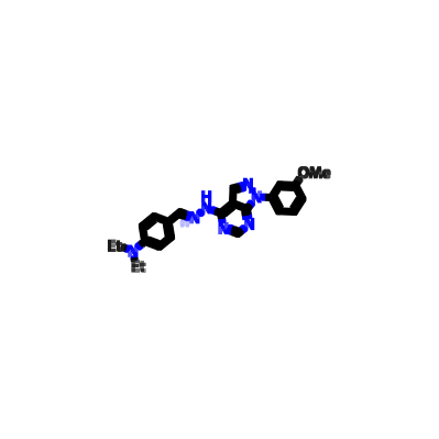 CCN(CC)c1ccc(/C=N/Nc2ncnc3c2cnn3-c2cccc(OC)c2)cc1